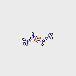 COc1ccc2cc(N(c3ccccc3)c3ccc(-c4ccc(N(c5ccccc5)c5cccc6ccccc56)cc4)cc3)ccc2c1-c1c(CO)ccc2cc(N(c3ccccc3)c3ccc(-c4ccc(N(c5ccccc5)c5cccc6ccccc56)cc4)cc3)ccc12